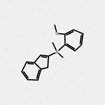 COc1ccccc1[Si](C)(C)C1=Cc2ccccc2C1